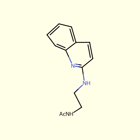 CC(=O)NCCNc1ccc2ccccc2n1